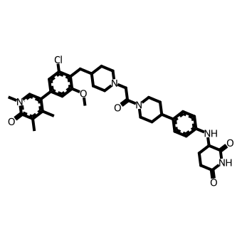 COc1cc(-c2cn(C)c(=O)c(C)c2C)cc(Cl)c1CC1CCN(CC(=O)N2CCC(c3ccc(NC4CCC(=O)NC4=O)cc3)CC2)CC1